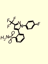 NS(=O)(=O)c1ccccc1-c1cc(C(F)(F)F)nn1-c1ccc(F)cc1